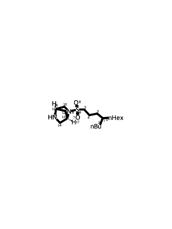 CCCCCCC(CCCC)CCCS(=O)(=O)N1C[C@H]2C[C@@H]1CN2